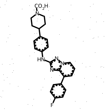 O=C(O)N1CCC(c2ccc(Nc3nc4c(-c5ccc(F)cc5)cccn4n3)cc2)CC1